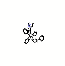 C=C/C(=C\C)n1c2ccccc2c2c3c4ccccc4n(-c4cccc(-c5ccccc5)c4)c3c3ccccc3c21